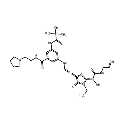 C=CCNC(=O)/C(N)=c1\sc(=C=CNc2cc(NC(=O)C(C)(C)C)cc(C(=O)NCCN3CCCC3)c2)c(=O)n1CC